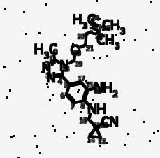 Cc1nnc(-c2ccc(NCC3(C#N)CC3)c(N)c2)n1COCC[Si](C)(C)C